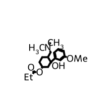 CCC(=O)OC1CCC(CN(C)C)C(O)(c2cccc(OC)c2)C1